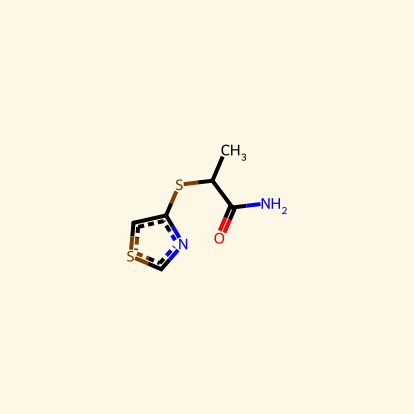 CC(Sc1cscn1)C(N)=O